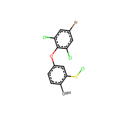 COc1ccc(Oc2c(Cl)cc(Br)cc2Cl)cc1SCl